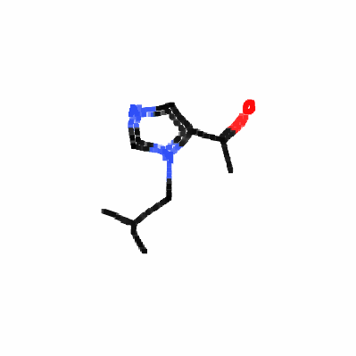 CC(=O)c1cncn1CC(C)C